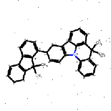 CC1(C)C2=C(C=CCC2)c2cccc(C3C=Cc4c(c5cccc6c5n4-c4ccccc4C6(C)C)C3)c21